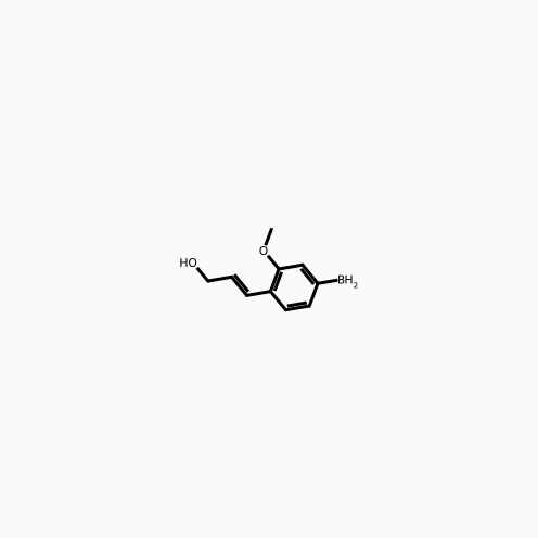 Bc1ccc(/C=C/CO)c(OC)c1